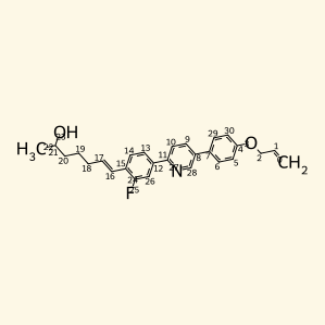 C=CCOc1ccc(-c2ccc(-c3ccc(C=CCCCC(C)O)c(F)c3)nc2)cc1